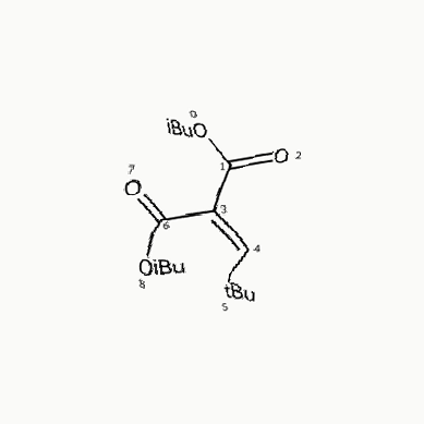 CC(C)COC(=O)C(=CC(C)(C)C)C(=O)OCC(C)C